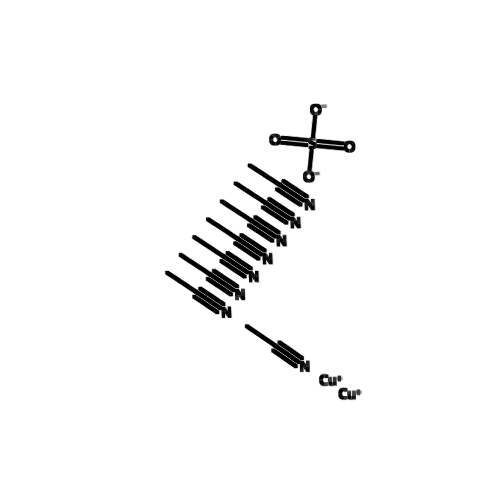 CC#N.CC#N.CC#N.CC#N.CC#N.CC#N.CC#N.CC#N.O=S(=O)([O-])[O-].[Cu+].[Cu+]